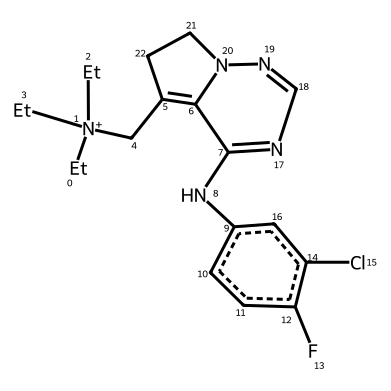 CC[N+](CC)(CC)CC1=C2C(Nc3ccc(F)c(Cl)c3)=NC=NN2CC1